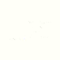 CC(=O)N/C=C/SC1=C(C(=O)[O-])N2C(=O)CC2C1.[Na+]